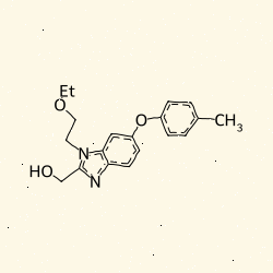 CCOCCn1c(CO)nc2ccc(Oc3ccc(C)cc3)cc21